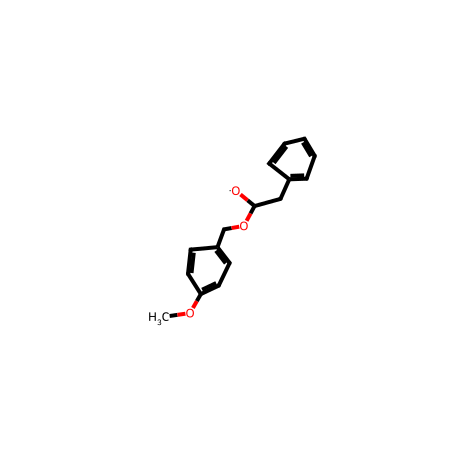 COc1ccc(COC([O])Cc2ccccc2)cc1